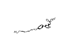 CCCCCCCCOc1ccc(-c2ccnc(CCC(=O)O)c2)cc1